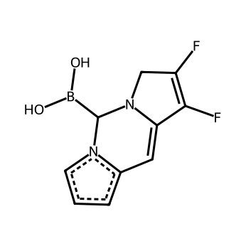 OB(O)C1N2CC(F)=C(F)C2=Cc2cccn21